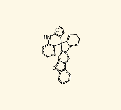 C1=C2C(=CCC1)C1(c3ccccc3Nc3ccccc31)c1cc3oc4ccccc4c3cc12